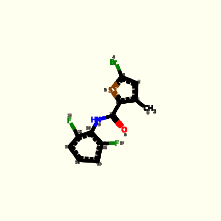 Cc1cc(Br)sc1C(=O)Nc1c(F)cccc1F